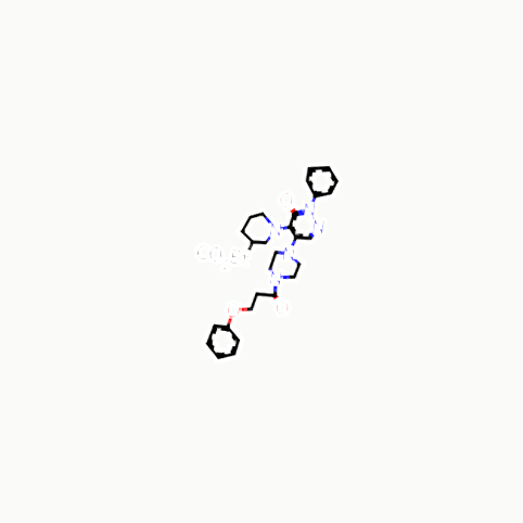 CCOC(=O)C1CCCN(c2c(N3CCN(C(=O)CCOc4ccccc4)CC3)cnn(-c3ccccc3)c2=O)C1